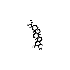 COC(=O)[C@]1(C)CC[C@]2(C)CC[C@]3(C)C4=CC=C5C(=CC(=O)C(O)=C5C)[C@]4(C)CCC3[C@@H]2C1